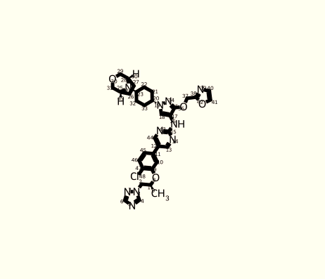 C[C@@H](Cn1cncn1)Oc1cc(-c2cnc(Nc3cn([C@H]4CC[C@H](N5[C@@H]6CC[C@H]5COC6)CC4)nc3OCc3ncco3)nc2)ccc1Cl